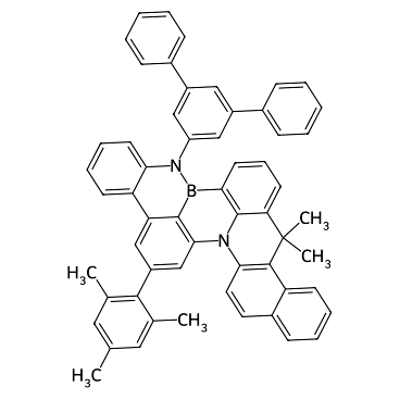 Cc1cc(C)c(-c2cc3c4c(c2)N2c5ccc6ccccc6c5C(C)(C)c5cccc(c52)B4N(c2cc(-c4ccccc4)cc(-c4ccccc4)c2)c2ccccc2-3)c(C)c1